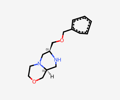 c1ccc(COC[C@@H]2CN3CCOC[C@@H]3CN2)cc1